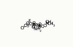 CN(C)c1ccc2ccc(S(=O)(=O)N3CCN(S(=O)(=O)c4cc(F)c(Oc5ccc(Cl)cc5)c(F)c4)[C@@H](C(N)=O)C3)cc2c1